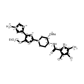 CCOC(=O)Oc1sc(N2CC[C@@H](NC(=O)c3[nH]c(C)c(Cl)c3Cl)[C@@H](OC)C2)nc1-c1cn(C)cn1